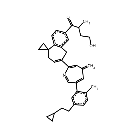 C=C1C=C(C2=CCC3(CC3)c3ccc(C(=O)C(C)CCO)cc3C2)N=CC(c2cc(CCC3CC3)ccc2C)=C1